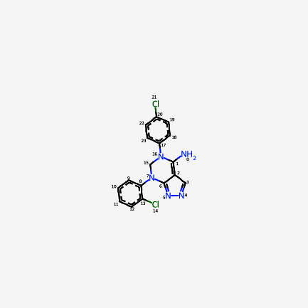 NC1=C2C=NN=C2N(c2ccccc2Cl)CN1c1ccc(Cl)cc1